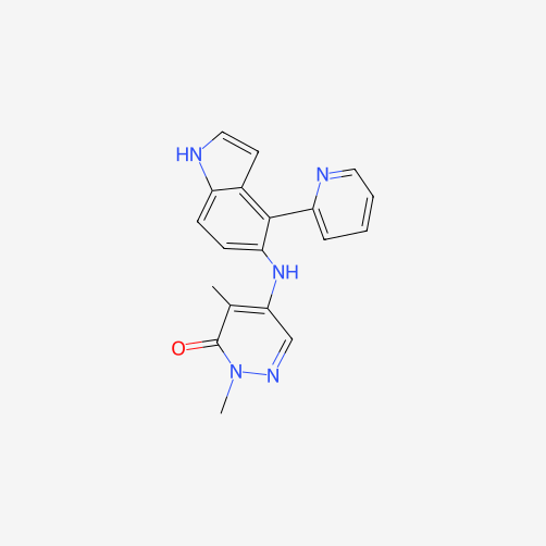 Cc1c(Nc2ccc3[nH]ccc3c2-c2ccccn2)cnn(C)c1=O